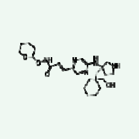 O=C(/C=C/c1cnc(N[C@]2(CC3(CO)CCCCC3)CCNC2)cn1)NOC1CCCCO1